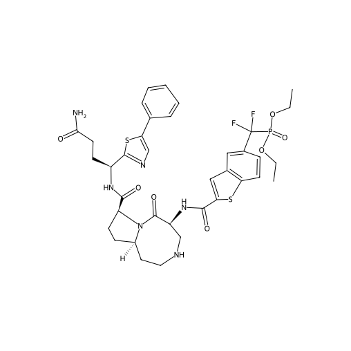 CCOP(=O)(OCC)C(F)(F)c1ccc2sc(C(=O)N[C@H]3CNCC[C@H]4CC[C@@H](C(=O)N[C@@H](CCC(N)=O)c5ncc(-c6ccccc6)s5)N4C3=O)cc2c1